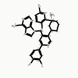 Nc1ncnc2c1ncn2Cc1cc(-c2ccc(F)c(F)c2)ncc1C1CCC[C@](N)(c2nc(Cl)ccc2F)C1